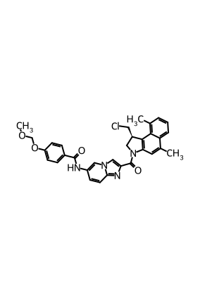 COCOc1ccc(C(=O)Nc2ccc3nc(C(=O)N4C[C@@H](CCl)c5c4cc(C)c4cccc(C)c54)cn3c2)cc1